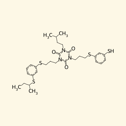 CCC(C)Sc1cccc(SCCCn2c(=O)n(CCCSc3cccc(S)c3)c(=O)n(CCC(C)C)c2=O)c1